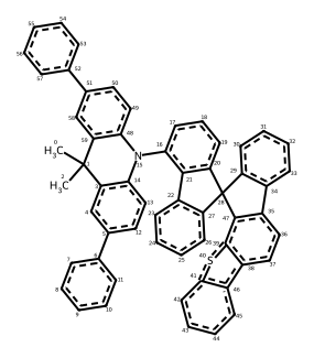 CC1(C)c2cc(-c3ccccc3)ccc2N(c2cccc3c2-c2ccccc2C32c3ccccc3-c3ccc4c(sc5ccccc54)c32)c2ccc(-c3ccccc3)cc21